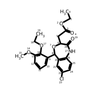 CCOC(=O)CC1OC(c2cccc(OC)c2OCC)c2cc(Cl)ccc2NC1=O